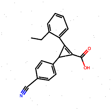 CCc1ccccc1C1=C(C(=O)O)C1c1ccc(C#N)cc1